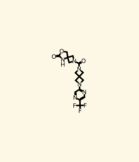 O=C1NC2(CO1)CN(C(=O)N1CC3(C1)CN(c1cnc(C(F)(F)F)cn1)C3)C2